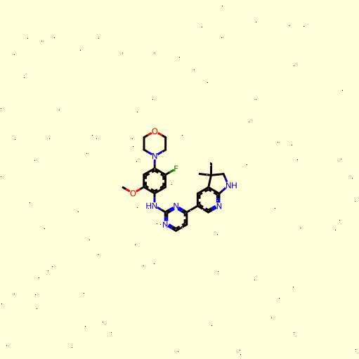 COc1cc(N2CCOCC2)c(F)cc1Nc1nccc(-c2cnc3c(c2)C(C)(C)CN3)n1